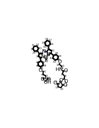 O=C(CCC(=O)ON1C(=O)CCC1=O)NCCOc1ccc(C2=N/C(=N\c3c(-c4ccccc4)cc(-c4ccc(OCCCS(=O)(=O)O)cc4)n3B(F)F)C(c3ccccc3)=C2)cc1